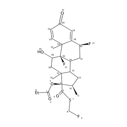 CCC(=O)O[C@]1(C(=O)SCF)[C@H](C)CC2C3C[C@H](F)C4=CC(=O)C=CC4(C)[C@@]3(F)C(O)CC21C